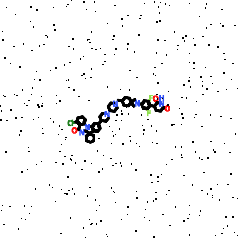 O=C1CCC(c2c(F)cc(N3CC4(CCC(CN5CCC(N6CCC(c7ccc8c(c7)-n7c(nc(=O)c9c(Cl)cccc97)C87CCCCC7)CC6)CC5)CC4)C3)cc2F)C(=O)N1